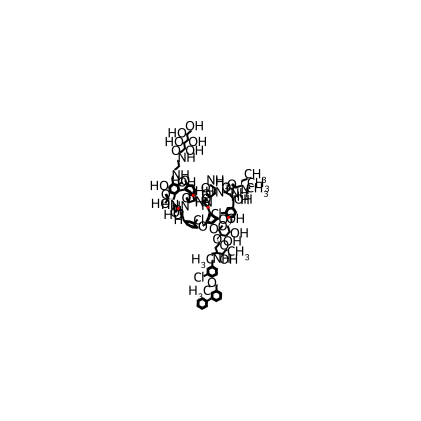 CCC1(NCc2ccc(OCc3cccc(-c4ccccc4)c3C)c(Cl)c2)C[C@H](O[C@H]2C(Oc3c4cc5cc3Oc3ccc(cc3Cl)[C@@H](O)[C@@H](NC(=O)[C@@H](CC(C)C)NC)C(=O)N[C@@H](CC(N)=O)C(=O)N[C@H]5C(=O)N[C@@H]3C(=O)N[C@H](C(=O)N[C@H](C(=O)O)c5cc(O)c(CNCCCNC(=O)[C@H](O)[C@@H](O)[C@H](O)[C@H](O)CO)c(O)c5-c5cc3ccc5O)[C@H](O)c3ccc(c(Cl)c3)O4)O[C@H](CO)C(O)C2O)OC(C)[C@H]1O